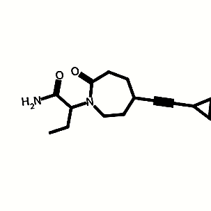 CCC(C(N)=O)N1CCC(C#CC2CC2)CCC1=O